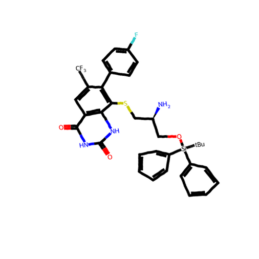 CC(C)(C)[Si](OC[C@H](N)CSc1c(-c2ccc(F)cc2)c(C(F)(F)F)cc2c(=O)[nH]c(=O)[nH]c12)(c1ccccc1)c1ccccc1